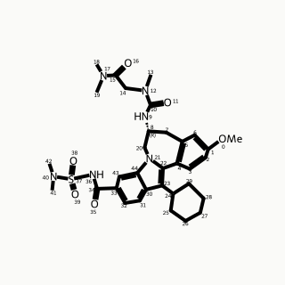 COc1ccc2c(c1)C[C@@H](NC(=O)N(C)CC(=O)N(C)C)Cn1c-2c(C2CCCCC2)c2ccc(C(=O)NS(=O)(=O)N(C)C)cc21